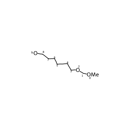 COCOCCCCCC[O]